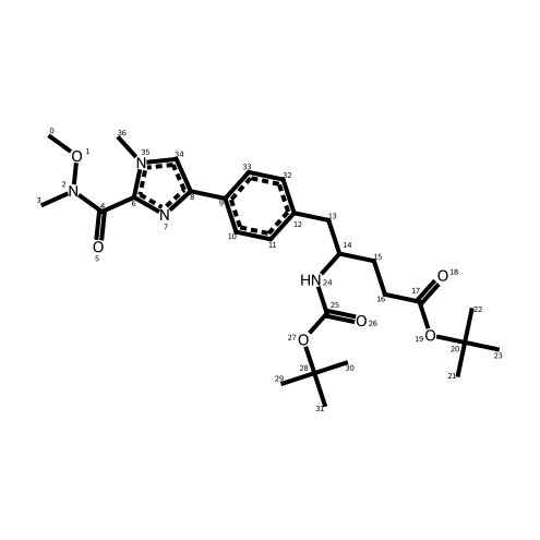 CON(C)C(=O)c1nc(-c2ccc(CC(CCC(=O)OC(C)(C)C)NC(=O)OC(C)(C)C)cc2)cn1C